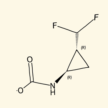 [O]C(=O)N[C@@H]1C[C@H]1C(F)F